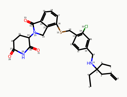 C=CCC(CC)(CC)NCc1ccc(CSc2cccc3c2CN(C2CCC(=O)NC2=O)C3=O)c(Cl)c1